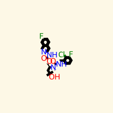 CN(C(=O)NCc1cccc(F)c1Cl)[C@H](COC(=O)Nc1cc2ccc(F)cc2cn1)CC(C)(C)O